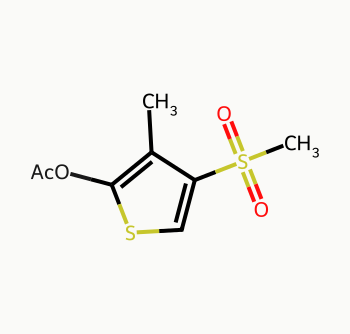 CC(=O)Oc1scc(S(C)(=O)=O)c1C